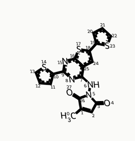 CC1=CC(=O)N(Nc2nc(-c3cccs3)nc3sc(-c4cccs4)cc23)C1=O